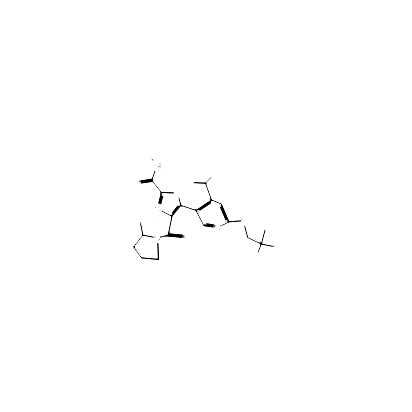 CC1CCCN1C(=O)c1nc(C(=O)NS)sc1-c1cnc(NCC(F)(F)F)cc1C(F)F